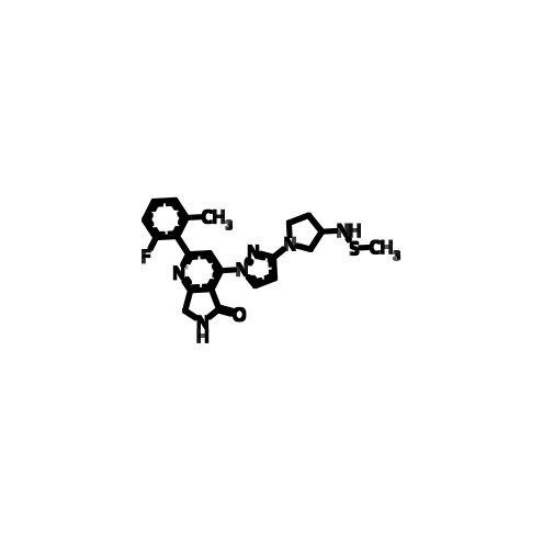 CSNC1CCN(c2ccn(-c3cc(-c4c(C)cccc4F)nc4c3C(=O)NC4)n2)C1